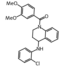 COc1ccc(C(=O)N2CCC(Nc3ccccc3Cl)c3ccccc32)cc1OC